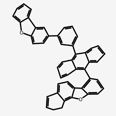 C1=Cc2ccc3c(oc4cccc(-c5c6ccccc6c(-c6cccc(-c7ccc8oc9ccccc9c8c7)c6)c6ccccc56)c43)c2CC1